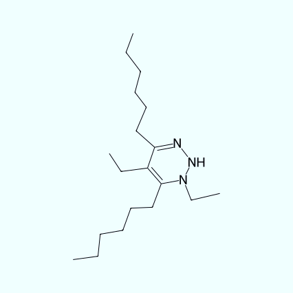 CCCCCCC1=NNN(CC)C(CCCCCC)=C1CC